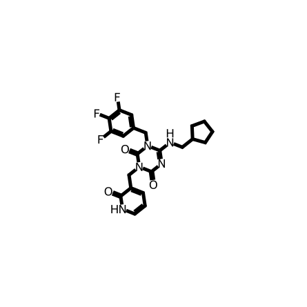 O=c1[nH]cccc1Cn1c(=O)nc(NCC2CCCC2)n(Cc2cc(F)c(F)c(F)c2)c1=O